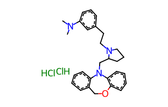 CN(C)c1cccc(CCN2CCCC2CN2c3ccccc3COc3ccccc32)c1.Cl.Cl